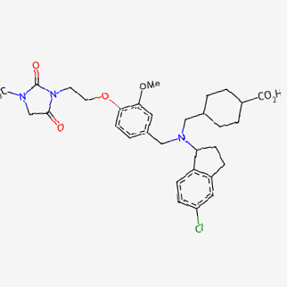 COc1cc(CN(CC2CCC(C(=O)O)CC2)C2CCc3cc(Cl)ccc32)ccc1OCCN1C(=O)CN(C)C1=O